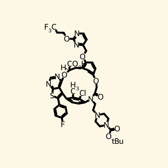 Cc1c2ccc(c1Cl)N(CCN1CCN(C(=O)OC(C)(C)C)CC1)C(=O)COc1ccc(OCc3ccnc(OCCC(F)(F)F)n3)c(c1)C[C@H](C(=O)O)Oc1ncnc3sc(-c4ccc(F)cc4)c-2c13